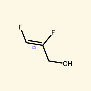 OC/C(F)=C/F